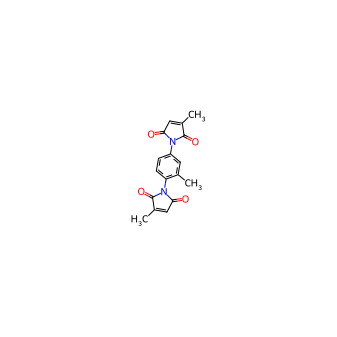 CC1=CC(=O)N(c2ccc(N3C(=O)C=C(C)C3=O)c(C)c2)C1=O